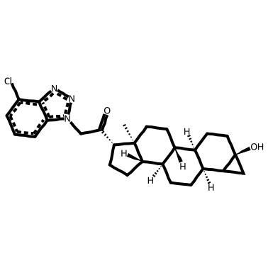 C[C@]12CC[C@@H]3[C@H]4CC[C@]5(O)CC5[C@H]4CC[C@H]3[C@@H]1CC[C@@H]2C(=O)Cn1nnc2c(Cl)cccc21